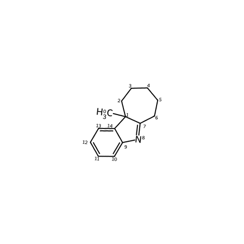 CC12CCCCCC1=Nc1ccccc12